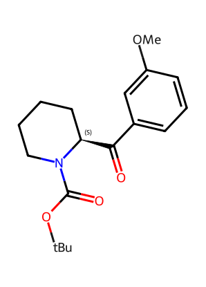 COc1cccc(C(=O)[C@@H]2CCCCN2C(=O)OC(C)(C)C)c1